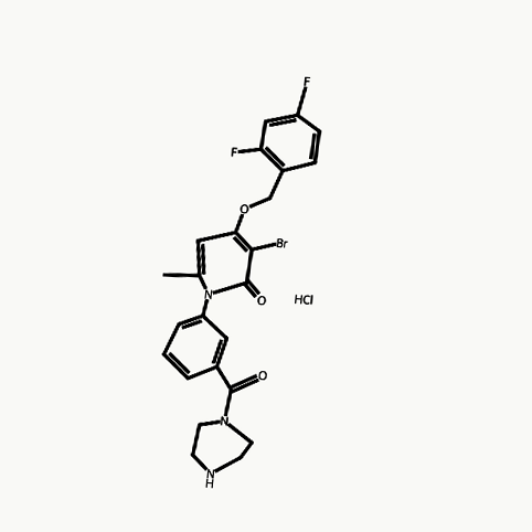 Cc1cc(OCc2ccc(F)cc2F)c(Br)c(=O)n1-c1cccc(C(=O)N2CCNCC2)c1.Cl